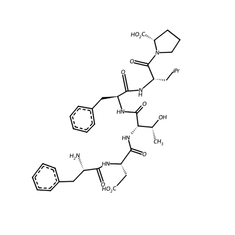 CC(C)C[C@H](NC(=O)[C@H](Cc1ccccc1)NC(=O)[C@@H](NC(=O)[C@H](CC(=O)O)NC(=O)[C@@H](N)Cc1ccccc1)[C@@H](C)O)C(=O)N1CCC[C@H]1C(=O)O